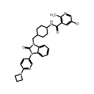 Cc1ncc(Cl)cc1C(=O)NC1CCC(Cn2c(=O)n(-c3ccc(N4CCC4)nc3)c3ccccc32)CC1